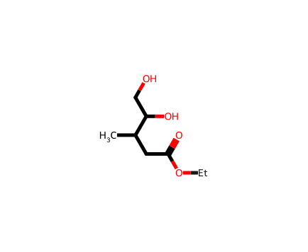 CCOC(=O)CC(C)C(O)CO